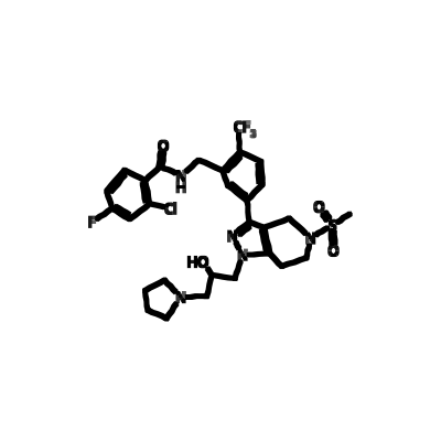 CS(=O)(=O)N1CCc2c(c(-c3ccc(C(F)(F)F)c(CNC(=O)c4ccc(F)cc4Cl)c3)nn2CC(O)CN2CCCC2)C1